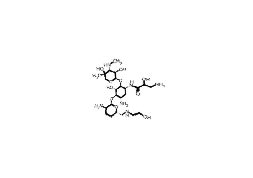 CN[C@@H]1[C@@H](O)[C@@H](O[C@@H]2[C@@H](O)[C@H](O[C@H]3O[C@H](CNCCO)CC[C@H]3N)[C@@H](N)C[C@H]2NC(=O)C(O)CN)OC[C@]1(C)O